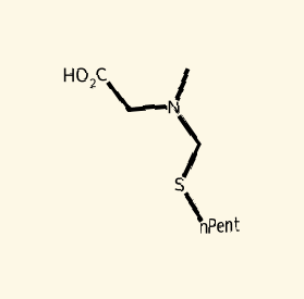 CCCCCSCN(C)CC(=O)O